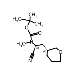 CN(C(=O)OC(C)(C)C)[C@H](C#N)C[C@H]1CCCOC1